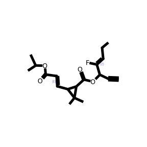 C#CC(OC(=O)C1C(/C=C/C(=O)OC(C)C)C1(C)C)/C(F)=C/CC